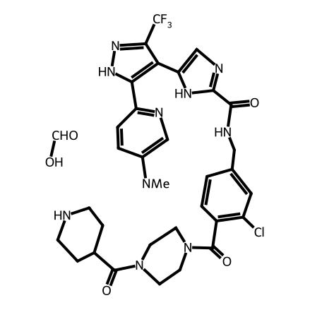 CNc1ccc(-c2[nH]nc(C(F)(F)F)c2-c2cnc(C(=O)NCc3ccc(C(=O)N4CCN(C(=O)C5CCNCC5)CC4)c(Cl)c3)[nH]2)nc1.O=CO